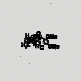 COc1ccc(Cn2c(=O)nc(N3C[C@H]4CC[C@@](C)(C3)N4C(=O)OC(C)(C)C)c3nnc(Cl)cc32)c(OC)c1